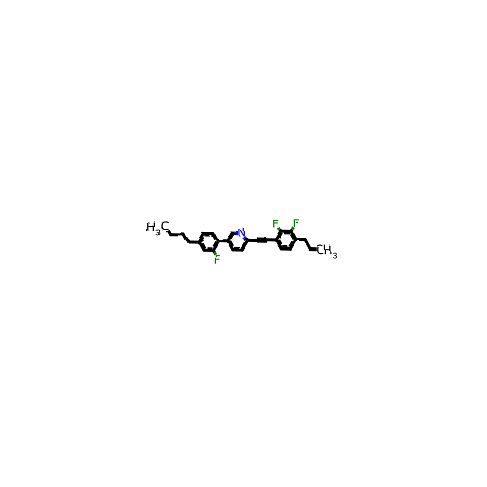 CCCCc1ccc(-c2ccc(C#Cc3ccc(CCC)c(F)c3F)nc2)c(F)c1